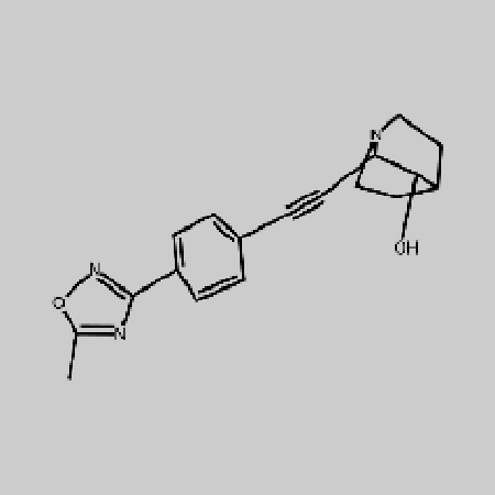 Cc1nc(-c2ccc(C#CC3C(O)C4CCN3CC4)cc2)no1